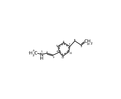 [CH2]NC=Cc1ccc(CC=C)cc1